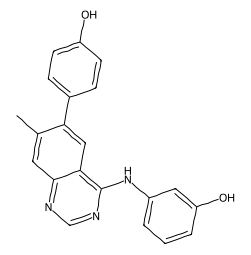 Cc1cc2ncnc(Nc3cccc(O)c3)c2cc1-c1ccc(O)cc1